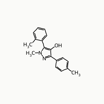 Cc1ccc(-c2nn(C)c(-c3ccccc3C)c2O)cc1